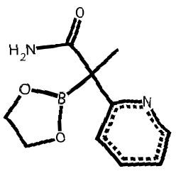 CC(B1OCCO1)(C(N)=O)c1ccccn1